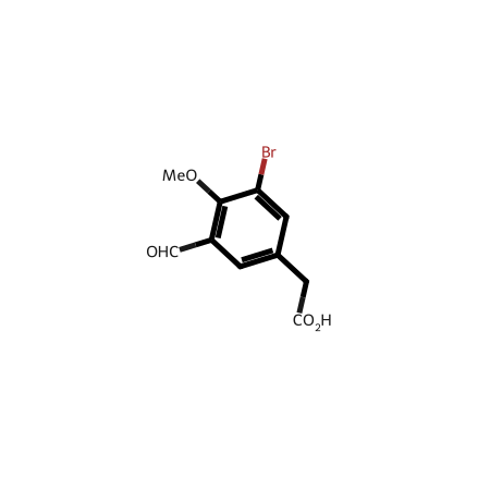 COc1c(Br)cc(CC(=O)O)cc1C=O